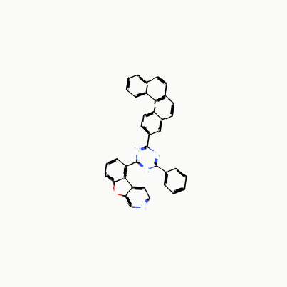 c1ccc(-c2nc(-c3ccc4c(ccc5ccc6ccccc6c54)c3)nc(-c3cccc4oc5cnccc5c34)n2)cc1